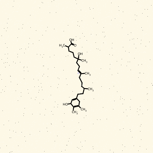 CC1=C(C)C(O)C=C(CCC(C)CCC/C(C)=C/CCC(C)(O)CCCC(C)C(=O)O)C1